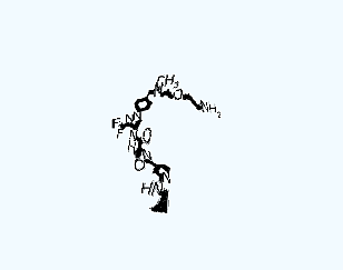 CN(CCCOCCCN)C[C@H]1CC[C@H](n2cc(NC(=O)c3coc(-c4ccnc(NCC5CC5)c4)n3)c(C(F)F)n2)CC1